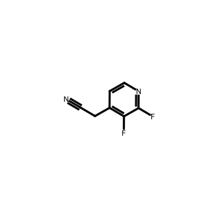 N#CCc1ccnc(F)c1F